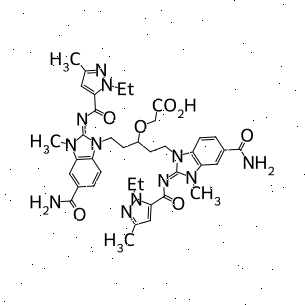 CCn1nc(C)cc1C(=O)N=c1n(C)c2cc(C(N)=O)ccc2n1CCC(CCn1c(=NC(=O)c2cc(C)nn2CC)n(C)c2cc(C(N)=O)ccc21)OCC(=O)O